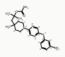 CC1(CC(C)(C)OC(N)=O)CCN(c2cnc(Sc3cccc(N)c3)cn2)CC1